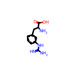 N=C(N)Nc1cccc(CC(N)C(=O)O)c1